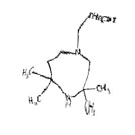 CCCCCCCCN1CC(C)(C)NC(C)(C)C1